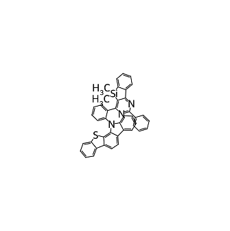 C[Si]1(C)c2ccccc2-c2nc(-c3ccccc3)nc(-c3ccccc3-n3c4ccccc4c4ccc5c6ccccc6sc5c43)c21